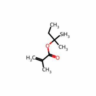 C=C(C)C(=O)OC(C)([SiH3])CC